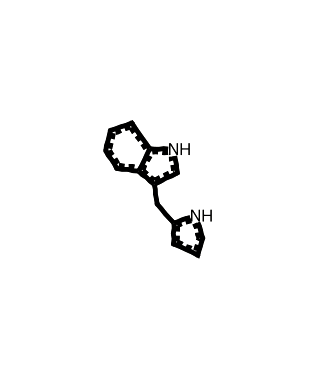 c1c[nH]c(Cc2c[nH]c3ccccc23)c1